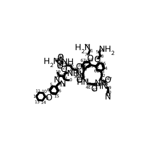 Cc1nc(-c2ccc(OC3CCCCC3)cc2)nc(C)c1C(=O)NC(CCNS(N)(=O)=O)C(=O)N(C)[C@@H]1C(=O)N[C@@H](C)C(=O)N[C@H](C(=O)NCC#N)Cc2ccc(OCCN)c(c2)-c2cc1ccc2OCCN